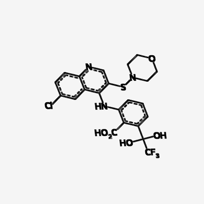 O=C(O)c1c(Nc2c(SN3CCOCC3)cnc3ccc(Cl)cc23)cccc1C(O)(O)C(F)(F)F